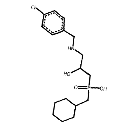 O=P(O)(CC(O)CNCc1ccc(Cl)cc1)CC1CCCCC1